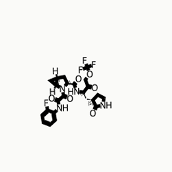 O=C(Nc1ccccc1F)C(=O)N1[C@@H]2C[C@@H]2C[C@H]1C(=O)N[C@@H](C[C@@H]1CCNC1=O)C(=O)COC(F)(F)F